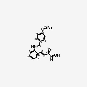 CC(C)(C)Oc1ccc(CNc2ccccc2C=CC(=O)NO)cc1